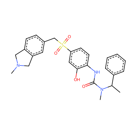 CC(c1ccccc1)N(C)C(=O)Nc1ccc(S(=O)(=O)Cc2ccc3c(c2)CN(C)C3)cc1O